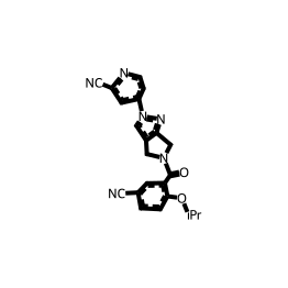 CC(C)Oc1ccc(C#N)cc1C(=O)N1Cc2cn(-c3ccnc(C#N)c3)nc2C1